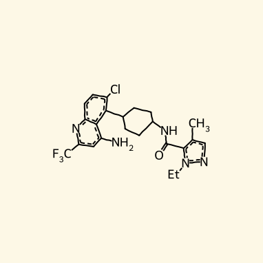 CCn1ncc(C)c1C(=O)NC1CCC(c2c(Cl)ccc3nc(C(F)(F)F)cc(N)c23)CC1